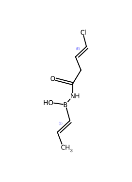 C/C=C/B(O)NC(=O)C/C=C/Cl